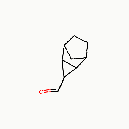 O=CC1C2C3CCC(C3)C12